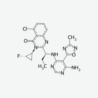 CC[C@H](Nc1ncnc(N)c1-c1nc(C)no1)c1nc2cccc(Cl)c2c(=O)n1[C@H]1C[C@@H]1F